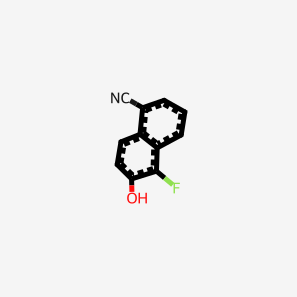 N#Cc1cccc2c(F)c(O)ccc12